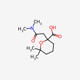 CN(C)C(=O)CC1(C(=O)O)CCCC(C)(C)O1